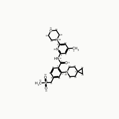 Cc1cc(NC(=O)c2ccc(CS(C)(=O)=O)cc2N2CCC3(CC2)CC3)nc(N2CCOCC2)c1